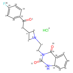 Cl.O=C(CC1CN(CCn2c(=O)[nH]c3ccccc3c2=O)C1)c1ccc(F)cc1